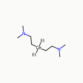 C[CH2][Ge]([CH2]C)([CH2]CN(C)C)[CH2]CN(C)C